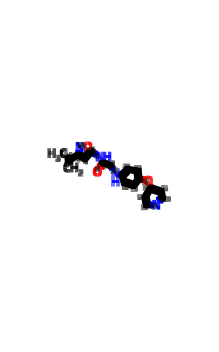 C=C(C)c1cc(NC(=O)CNc2ccc(Oc3ccncc3)cc2)on1